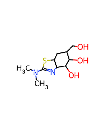 CN(C)C1=NC2C(CC(CO)C(O)C2O)S1